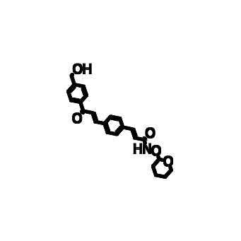 O=C(/C=C/c1ccc(/C=C/C(=O)c2ccc(CO)cc2)cc1)NOC1CCCCO1